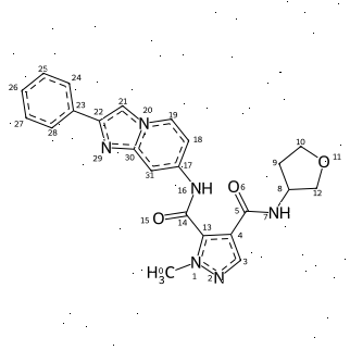 Cn1ncc(C(=O)NC2CCOC2)c1C(=O)Nc1ccn2cc(-c3ccccc3)nc2c1